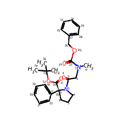 CN(CC(=O)N1CCC[C@]1(C(=O)OC(C)(C)C)c1ccccc1)C(=O)OCc1ccccc1